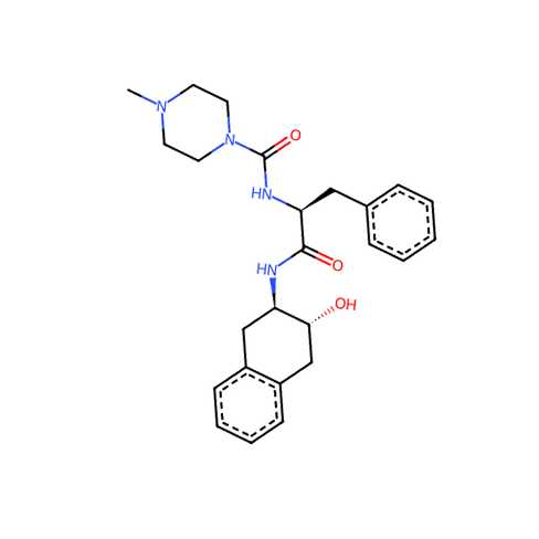 CN1CCN(C(=O)N[C@@H](Cc2ccccc2)C(=O)N[C@@H]2Cc3ccccc3C[C@H]2O)CC1